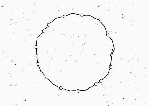 C1=C/CCCCCCCCCCCCCCCCCCCCCCCCCC/1